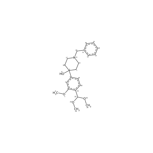 COc1cc(C2(O)CCN(Cc3ccccc3)CC2)ccc1C(OC)OC